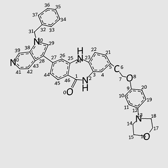 O=C1Nc2cc(CCOc3ccc(N4CCOCC4)cc3)ccc2Nc2cc(-c3cn(Cc4ccccc4)c4cnccc34)ccc21